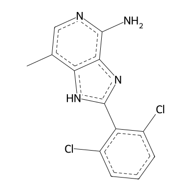 Cc1cnc(N)c2nc(-c3c(Cl)cccc3Cl)[nH]c12